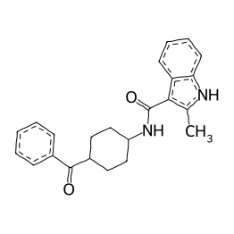 Cc1[nH]c2ccccc2c1C(=O)NC1CCC(C(=O)c2ccccc2)CC1